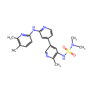 Cc1nc(Nc2cc(-c3cnc(C)c(NS(=O)(=O)N(C)C)c3)ccn2)ccc1C#N